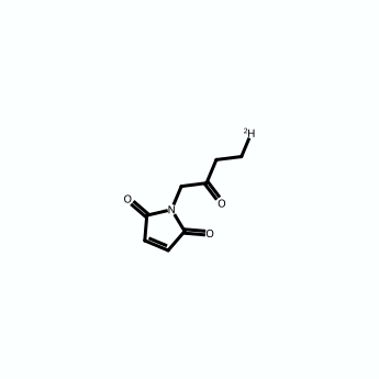 [2H]CCC(=O)CN1C(=O)C=CC1=O